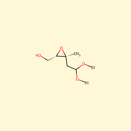 CCOC(C[C@]1(C)O[C@H]1CO)OCC